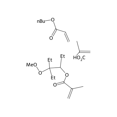 C=C(C)C(=O)O.C=C(C)C(=O)OC(CC)C(CC)(CC)OOC.C=CC(=O)OCCCC